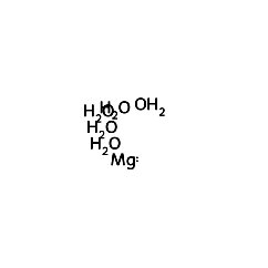 O.O.O.O.O.[Mg]